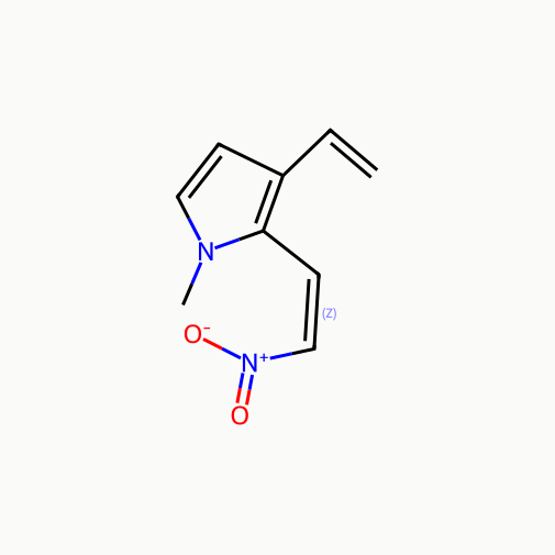 C=Cc1ccn(C)c1/C=C\[N+](=O)[O-]